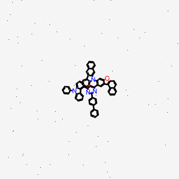 c1ccc(-c2ccc(-c3nc(-c4cc5c(cc4-n4c6ccccc6c6cc7ccccc7cc64)oc4ccc6ccccc6c45)cc(-c4cccc5c4c4ccccc4n5-c4ccccc4)n3)cc2)cc1